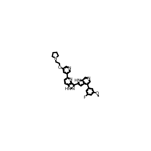 COc1cc(F)cc(-c2cncc3[nH]c(-c4n[nH]c5ccc(-c6cncc(OCCN7CCCC7)c6)nc45)cc23)c1